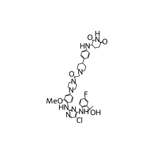 COc1cc(N2CCN(C(=O)CN3CCC(c4ccc(NC5CCC(=O)NC5=O)cc4)CC3)CC2)ccc1Nc1ncc(Cl)c(Nc2ccc(F)cc2C(C)(C)O)n1